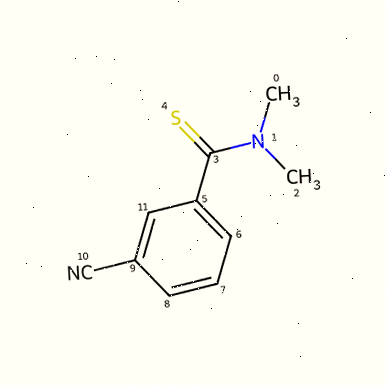 CN(C)C(=S)c1cccc(C#N)c1